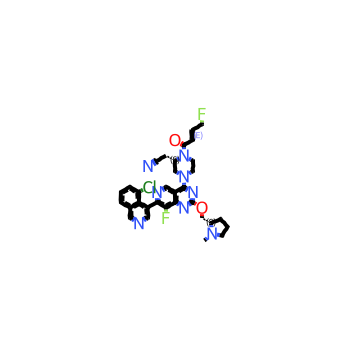 CN1CCC[C@H]1COc1nc(N2CCN(C(=O)/C=C/CF)[C@@H](CC#N)C2)c2cnc(-c3cncc4cccc(Cl)c34)c(F)c2n1